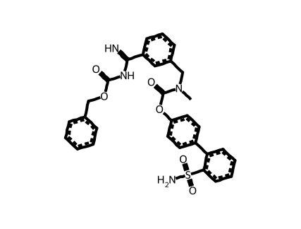 CN(Cc1cccc(C(=N)NC(=O)OCc2ccccc2)c1)C(=O)Oc1ccc(-c2ccccc2S(N)(=O)=O)cc1